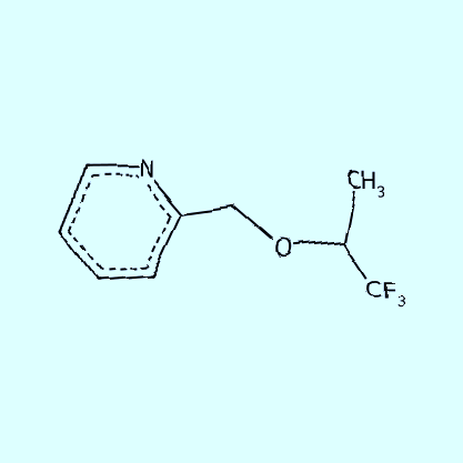 CC(OCc1ccccn1)C(F)(F)F